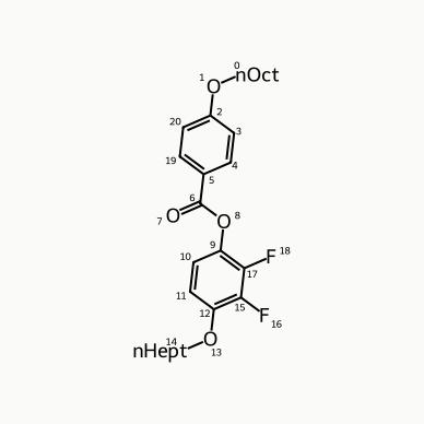 CCCCCCCCOc1ccc(C(=O)Oc2ccc(OCCCCCCC)c(F)c2F)cc1